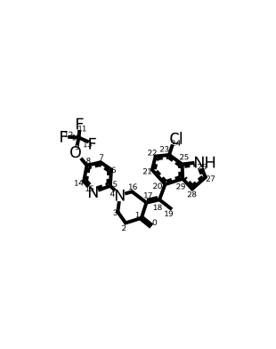 C=C1CCN(c2ccc(OC(F)(F)F)cn2)C/C1=C(/C)c1ccc(Cl)c2[nH]ccc12